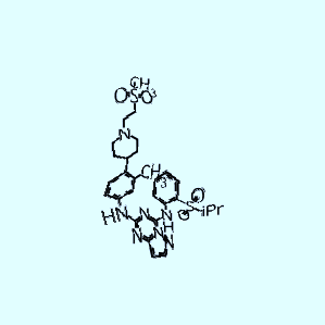 Cc1cc(Nc2nc(Nc3ccccc3S(=O)(=O)C(C)C)n3nccc3n2)ccc1C1CCN(CCS(C)(=O)=O)CC1